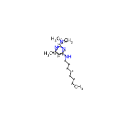 CCCCCCCCNc1cc(C)nc(N(C)C)n1